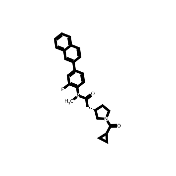 CN(C(=O)C[C@@H]1CCN(C(=O)C2CC2)C1)c1ccc(-c2ccc3ccccc3c2)cc1F